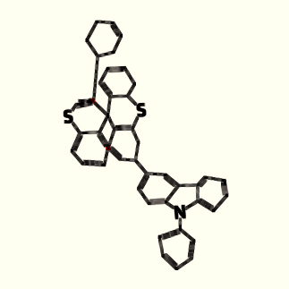 C1=CCC2SC3=C(C=CC(c4ccc5c(c4)c4ccccc4n5-c4ccccc4)C3)C3(C2=C1)C1=C(CCC(C2CC=CCC2)=C1)Sc1ccccc13